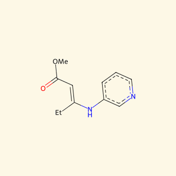 CCC(=CC(=O)OC)Nc1cccnc1